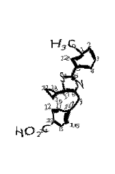 Cc1cccc(-c2nc(Cc3ccc(C(=O)O)cc3)c(C3CC3)s2)c1